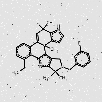 CCc1cccc2c1-n1nc3c(c1C1(C)C2=CC(C)(F)c2[nH]ccc21)CN(Cc1cccc(F)c1)C3(C)C